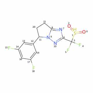 O=[SH](=O)C(F)(F)c1nc2n(n1)C(c1cc(F)cc(F)c1)CC2